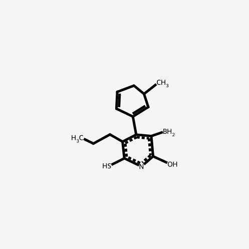 Bc1c(O)nc(S)c(CCC)c1C1=CC(C)CC=C1